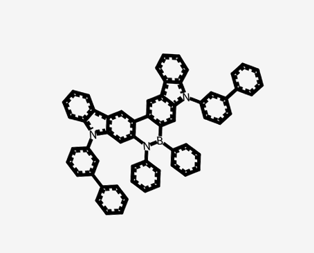 c1ccc(B2c3cc4c(cc3-c3cc5c6ccccc6n(-c6cccc(-c7ccccc7)c6)c5cc3N2c2ccccc2)c2ccccc2n4-c2cccc(-c3ccccc3)c2)cc1